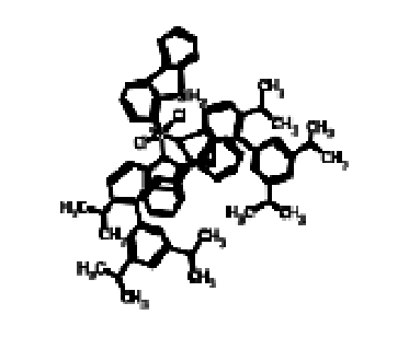 CC(C)c1cc(-c2c(C(C)C)ccc3c2C=C(c2ccccc2)[CH]3[Zr]([Cl])([Cl])([c]2cccc3c2[SiH2]c2ccccc2-3)[CH]2C(c3ccccc3)=Cc3c2ccc(C(C)C)c3-c2cc(C(C)C)cc(C(C)C)c2)cc(C(C)C)c1